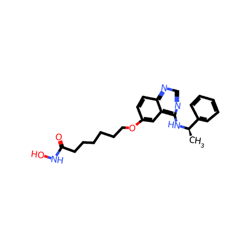 C[C@@H](Nc1ncnc2ccc(OCCCCCCC(=O)NO)cc12)c1ccccc1